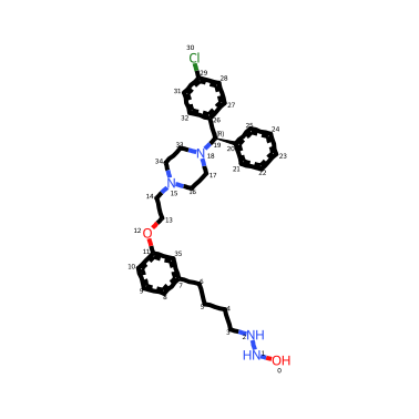 ONNCCCCc1cccc(OCCN2CCN([C@H](c3ccccc3)c3ccc(Cl)cc3)CC2)c1